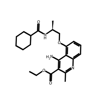 CCOC(=O)c1c(C)nc2cccc(OC[C@H](C)NC(=O)C3CCCCC3)c2c1N